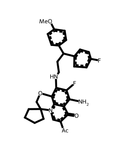 COc1ccc(C(CCNc2c(F)c(N)c3c(=O)c(C(C)=O)cn4c3c2OCC42CCCC2)c2ccc(F)cc2)cc1